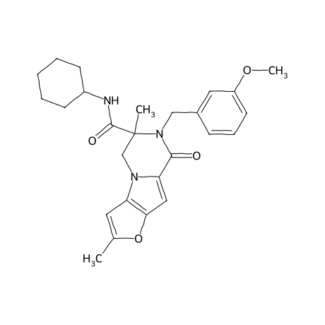 COc1cccc(CN2C(=O)c3cc4oc(C)cc4n3CC2(C)C(=O)NC2CCCCC2)c1